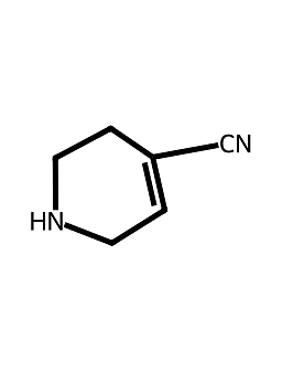 N#CC1=CCNCC1